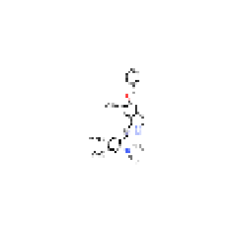 COc1cc(/C=C/C2NCCc3cc(OCc4ccccc4)c(OC)cc32)c(N(C)C)cc1OC